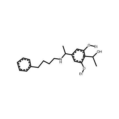 CCOc1cc(C(C)NCCCCc2ccccc2)cc(OCC)c1C(C)O